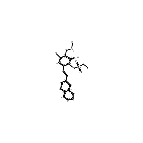 CCS(=O)(=O)On1c(/C=C/c2ccc3ccccc3c2)cc(C)c(COC)c1=O